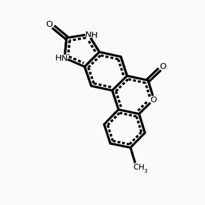 Cc1ccc2c(c1)oc(=O)c1cc3[nH]c(=O)[nH]c3cc12